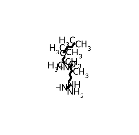 CC(C)CCC(C)(C)OCCC(C)(C)NC(=O)C(C)CCCNC(=N)N